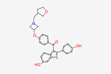 O=C(c1ccc(OC2CN(CC3CCOC3)C2)cc1)c1c(-c2ccc(O)cc2)sc2cc(O)ccc12